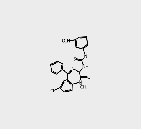 CN1C(=O)C(NC(=S)Nc2cccc([N+](=O)[O-])c2)N=C(c2ccccc2)c2cc(Cl)ccc21